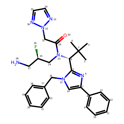 CC(C)(C)[C@H](c1nc(-c2ccccc2)cn1Cc1ccccc1)N(C[C@H](F)CN)C(=O)Cn1nccn1